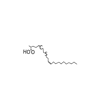 CCCCCCCCCC/C=C\CCSCC=C=CCCC(C)C(=O)O